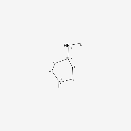 CBN1CCNCC1